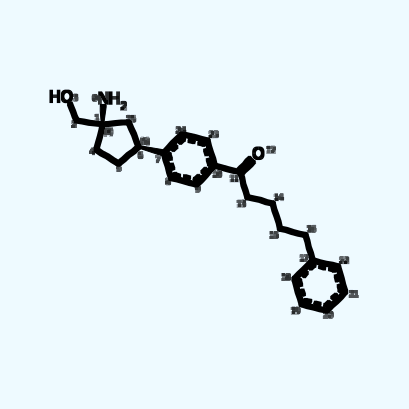 N[C@]1(CO)CC[C@H](c2ccc(C(=O)CCCCc3ccccc3)cc2)C1